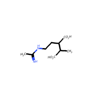 CC(=N)NCCC(C(=O)O)C(C)C(=O)O